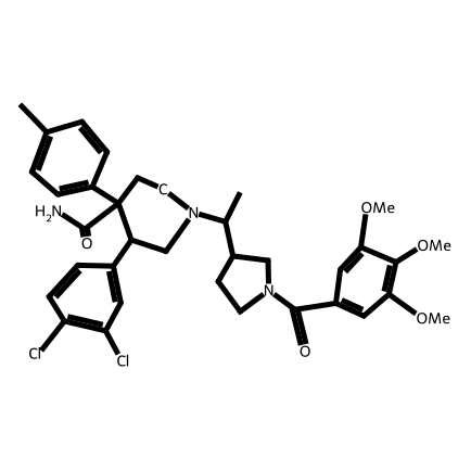 COc1cc(C(=O)N2CCC(C(C)N3CCC(C(N)=O)(c4ccc(C)cc4)C(c4ccc(Cl)c(Cl)c4)C3)C2)cc(OC)c1OC